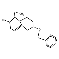 CCC(C)C1C(C(C)C)CC=C2C[C@@H](OCc3ccncc3)CC[C@@]21C